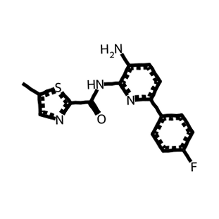 Cc1cnc(C(=O)Nc2nc(-c3ccc(F)cc3)ccc2N)s1